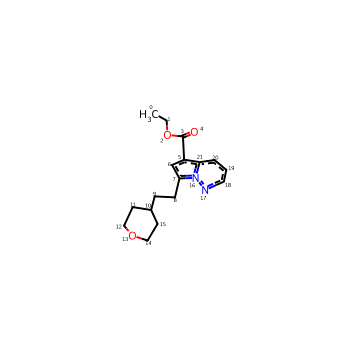 CCOC(=O)c1cc(CCC2CCOCC2)n2ncccc12